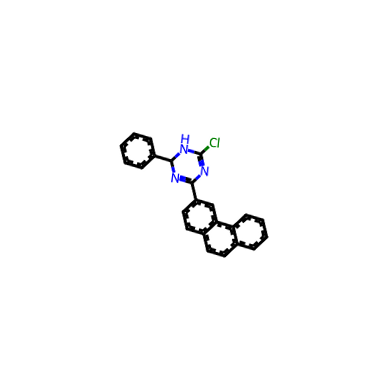 ClC1=NC(c2ccc3ccc4ccccc4c3c2)=NC(c2ccccc2)N1